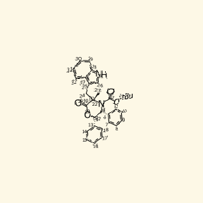 CC(C)(C)OC(=O)N1[C@H](c2ccccc2)[C@H](c2ccccc2)OC(=O)[C@]1(C)Cc1c[nH]c2ccccc12